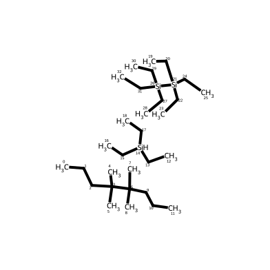 CCCC(C)(C)C(C)(C)CCC.CC[SiH](CC)CC.CC[Si](CC)(CC)[Si](CC)(CC)CC